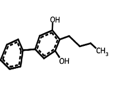 CCCCc1c(O)cc(-c2ccccc2)cc1O